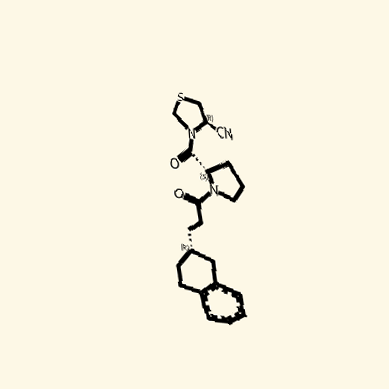 N#C[C@@H]1CSCN1C(=O)[C@@H]1CCCN1C(=O)CC[C@H]1CCc2ccccc2C1